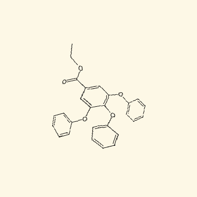 CCOC(=O)c1cc(Oc2ccccc2)c(Oc2ccccc2)c(Oc2ccccc2)c1